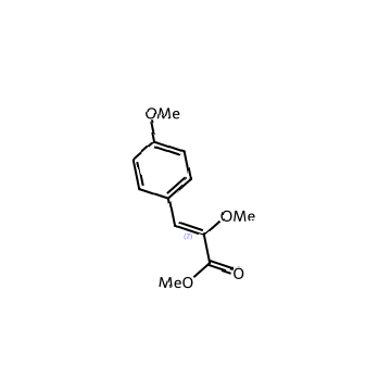 COC(=O)/C(=C/c1ccc(OC)cc1)OC